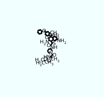 Cc1cc(Oc2ccccc2)ccc1C1(N)C(=O)C(N)c2c(C(=O)N[C@@H]3CCCN(C(=O)[C@@H](C)NC(=O)OC(C)(C)C)C3)sc3c(N)ccc1c23